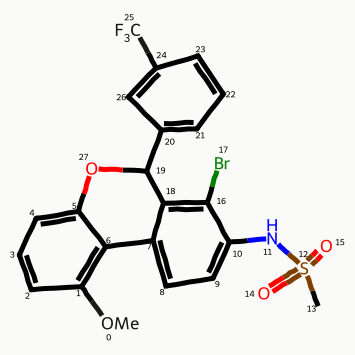 COc1cccc2c1-c1ccc(NS(C)(=O)=O)c(Br)c1C(c1cccc(C(F)(F)F)c1)O2